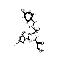 CC(=O)N1C[C@@H](F)C[C@H]1C(=O)N[C@@H](CCC(=O)C=N)C(=O)NCc1ccc(F)cc1